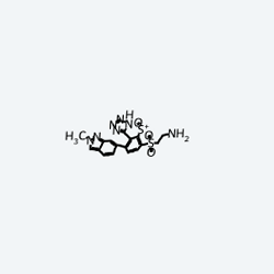 Cn1cc2ccc(-c3ccc(S(=O)(=O)CCN)c([S+]=O)c3-c3nnn[nH]3)cc2n1